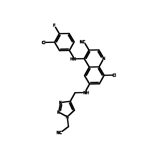 N#CCn1cc(CNc2cc(Cl)c3ncc(C#N)c(Nc4ccc(F)c(Cl)c4)c3c2)nn1